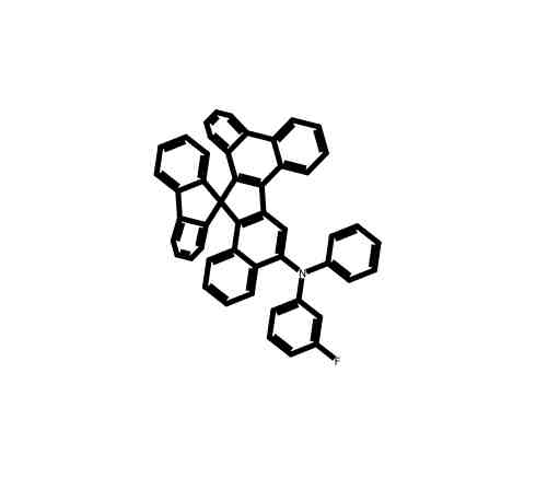 Fc1cccc(N(c2ccccc2)c2cc3c(c4ccccc24)C2(c4ccccc4-c4ccccc42)c2c-3c3ccccc3c3ccccc23)c1